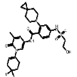 Cc1cc(NC(=O)c2ccc(NS(=O)(=O)CCO)cc2N2CCC3(CC2)CC3)cn(C2=CCC(F)(F)CC2)c1=O